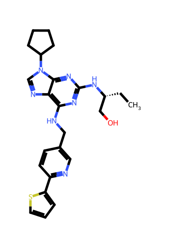 CC[C@H](CO)Nc1nc(NCc2ccc(-c3cccs3)nc2)c2ncn(C3CCCC3)c2n1